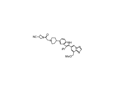 COCc1cc(-c2[nH]c3ccc(C4CCN(CC(=O)N5CC(C#N)C5)CC4)cc3c2C(C)C)cn2ncnc12